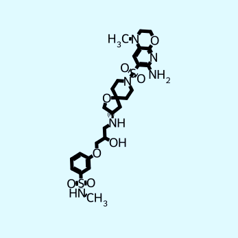 CNS(=O)(=O)c1cccc(OCC(O)CN[C@H]2COC3(CCN(S(=O)(=O)c4cc5c(nc4N)OCCN5C)CC3)C2)c1